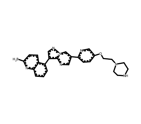 Bc1ccc2c(-c3cnn4cc(-c5ccc(OCCN6CCNCC6)cn5)cnc34)cccc2n1